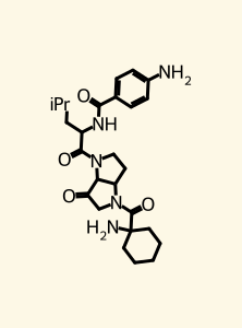 CC(C)CC(NC(=O)c1ccc(N)cc1)C(=O)N1CCC2C1C(=O)CN2C(=O)C1(N)CCCCC1